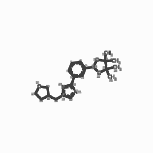 CC1(C)OB(c2cccc(-c3ncn(CC4CCOC4)n3)c2)OC1(C)C